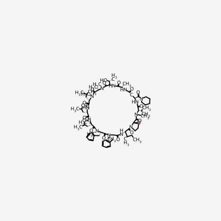 CC[C@H](C)[C@@H]1NC(=O)[C@H](Cc2ccccc2)N(C)C(=O)[C@H](Cc2ccccc2)N(C)C(=O)[C@H](CC(C)C)N(C)C(=O)[C@H](CC(C)C)NC(=O)[C@H](CC(C)C)N(C)C(=O)[C@H](C)N(C)C(=O)[C@H]([C@@H](C)O)NC(=O)[C@H](C)NC(=O)C[C@@H](C(=O)N2CCCCC2)NC(=O)[C@H](C(C)C)N(C)C(=O)[C@@H]2CCCN2C1=O